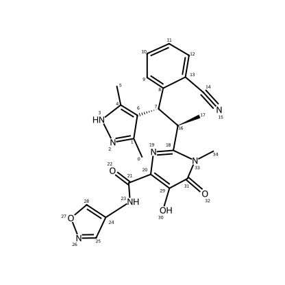 Cc1n[nH]c(C)c1[C@H](c1ccccc1C#N)[C@@H](C)c1nc(C(=O)Nc2cnoc2)c(O)c(=O)n1C